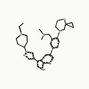 CCN1CCC(n2cc(-c3c[nH]c4ncc(-c5ccc(N6CCOC7(CC7)C6)c(CN(C)C)c5)cc34)cn2)CC1